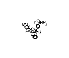 NCC1CCC(C(=O)N[C@@H](Cc2ccccc2)c2nc(-c3ccc(C(N)=O)c(F)c3)c(Cl)[nH]2)CC1